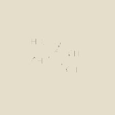 CCC(C)CC(=O)C(C)CC